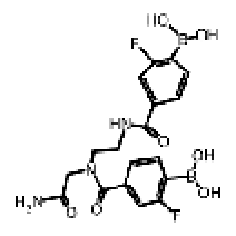 NC(=O)CN(CCNC(=O)c1ccc(B(O)O)c(F)c1)C(=O)c1ccc(B(O)O)c(F)c1